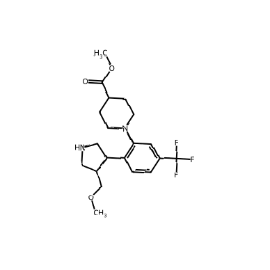 COCC1CNCC1c1ccc(C(F)(F)F)cc1N1CCC(C(=O)OC)CC1